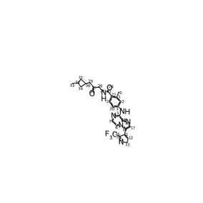 Cc1cc(Nc2nccn3c(C4=CCN=C4C(F)(F)F)cnc23)ccc1C(=O)NCC(=O)CC1CC(C)C1